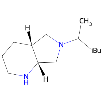 CCC(C)C(C)N1C[C@H]2CCCN[C@H]2C1